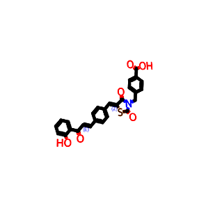 O=C(O)c1ccc(CN2C(=O)S/C(=C\c3ccc(/C=C/C(=O)c4ccccc4O)cc3)C2=O)cc1